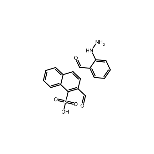 NNc1ccccc1C=O.O=Cc1ccc2ccccc2c1S(=O)(=O)O